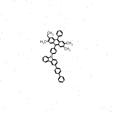 CCc1cc2c(-c3ccccc3)c3cc(C)c(C)cc3c(-c3ccc(-n4c5ccccc5c5cc(-c6ccc(-c7ccccc7)cc6)ccc54)cc3)c2cc1C